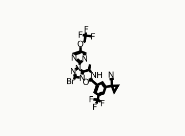 CC(NC(=O)c1cc(C(F)(F)F)cc(C2(C#N)CC2)c1)c1nc(Br)nn1-c1ncc(OCC(F)(F)F)cn1